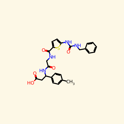 Cc1ccc(C(CC(=O)O)NC(=O)CNC(=O)c2ccc(NC(=O)NCc3ccccc3)s2)cc1